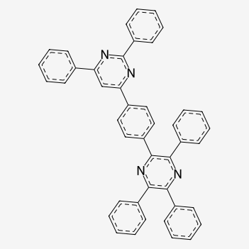 c1ccc(-c2cc(-c3ccc(-c4nc(-c5ccccc5)c(-c5ccccc5)nc4-c4ccccc4)cc3)nc(-c3ccccc3)n2)cc1